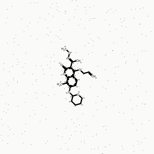 C=CCOc1c(/C(C)=N/OC)c(=O)oc2c(C)c(OC3CCCCO3)ccc12